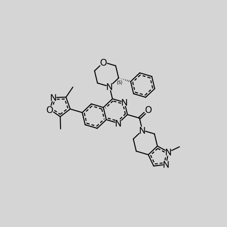 Cc1noc(C)c1-c1ccc2nc(C(=O)N3CCc4cnn(C)c4C3)nc(N3CCOC[C@@H]3c3ccccc3)c2c1